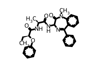 CC[C@H](Oc1ccccc1)C(=O)N[C@@H](C)C(=O)NC1N=C(c2ccccc2)c2ccccc2N(C)C1=O